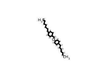 CCCCCCCC1CCC(COC2CCC(CCCCCCC)CC2)CC1